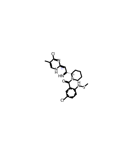 CSNc1ccc(Cl)cc1C(=O)N1CCCC[C@H]1C(=N)/C=C1/N=C(Cl)C(C)=CN1